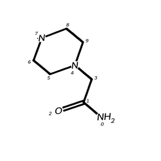 NC(=O)CN1CC[N]CC1